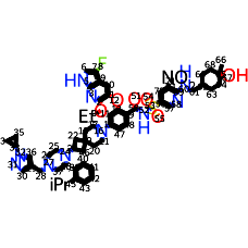 CCOc1nc2[nH]cc(F)c2cc1Oc1cc(N2CCC3(CC2)CC(N2CCN(Cc4cnn(C5CC5)c4)C[C@H]2c2ccccc2C(C)C)C3)ccc1C(=O)NS(=O)(=O)c1cnc(NCC2CCC(C)(O)CC2)c([N+](=O)[O-])c1